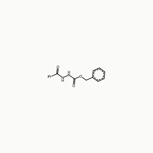 CC(C)C(=O)NNC(=O)OCc1ccccc1